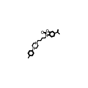 C=C(C)c1ccc2c(c1)oc(=O)n2CCCCN1CCN(c2ccc(C)cc2)CC1